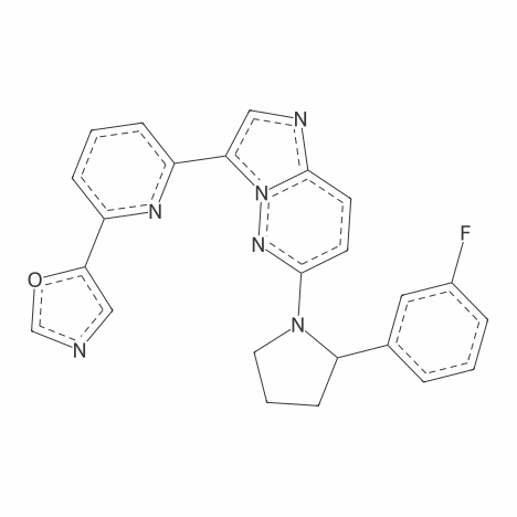 Fc1cccc(C2CCCN2c2ccc3ncc(-c4cccc(-c5cnco5)n4)n3n2)c1